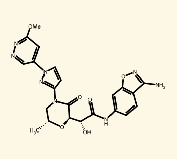 COc1cc(-n2ccc(N3C[C@@H](C)O[C@H]([C@@H](O)C(=O)Nc4ccc5c(N)noc5c4)C3=O)n2)cnn1